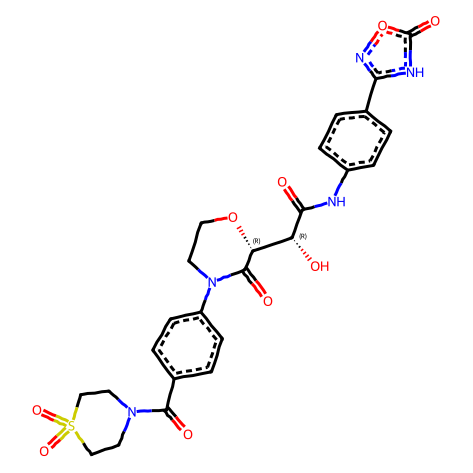 O=C(Nc1ccc(-c2noc(=O)[nH]2)cc1)[C@H](O)[C@H]1OCCN(c2ccc(C(=O)N3CCS(=O)(=O)CC3)cc2)C1=O